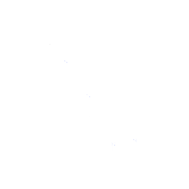 CS(=O)(=O)N1CC(S(=O)(=O)N2CCC(c3c[nH]c4ncccc34)CC2)C1